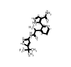 CC(C(=O)Nc1cc(C(C)(C)C(F)(F)F)on1)c1cccnc1-c1[nH]ncc1C(N)=O